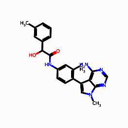 Cc1cccc(C(O)C(=O)Nc2ccc(-c3cn(C)c4ncnc(N)c34)c(C)c2)c1